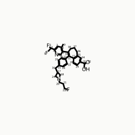 Cc1cc(C(F)F)ncc1C1=C(c2ccc(CC3CN(CCCF)C3)cc2)c2ccc(C(=O)O)cc2CCC1